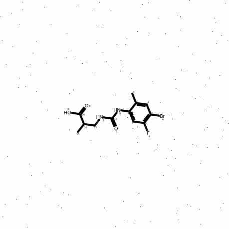 Cc1cc(Br)c(F)cc1NC(=O)NCC(C)C(=O)O